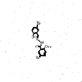 O=C(N/N=C/c1cc(Br)ccc1O)c1cc(Br)ccc1O